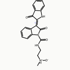 C[NH+]([O-])CCNC(=O)N1C(=O)/C(=C2\Nc3ccccc3C2=O)c2ccccc21